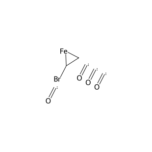 Br[CH]1[CH2][Fe]1.[C]=O.[C]=O.[C]=O.[C]=O